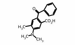 Cc1cc(C(=O)c2ccccc2)c(C(=O)O)cc1N(C)C